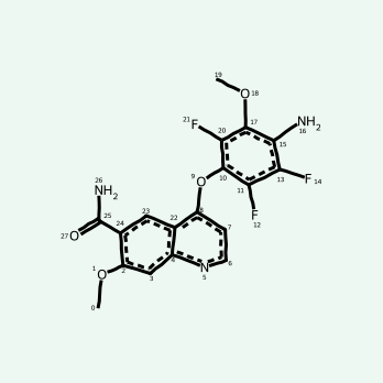 COc1cc2nccc(Oc3c(F)c(F)c(N)c(OC)c3F)c2cc1C(N)=O